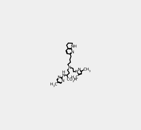 Cc1cnc(NC(CCN(CCCCc2ccc3c(n2)NCCC3)CCn2nc(C)cc2C)C(=O)O)nc1